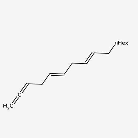 C=C=CCC=CCC=CCCCCCCC